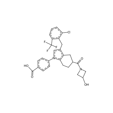 O=C(O)c1ccc(-n2cc(Cc3c(Cl)cccc3C(F)(F)F)c3c2CCC(C(=O)N2CC(O)C2)C3)cc1